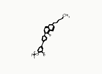 CCCCCc1ccc2c(F)c(-c3ccc(-c4ccc(OC(F)(F)F)c(F)c4)cc3)ccc2c1